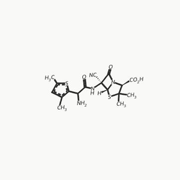 Cc1cc(C)c(C(N)C(=O)N[C@@]2(C#N)C(=O)N3[C@@H](C(=O)O)C(C)(C)S[C@@H]32)s1